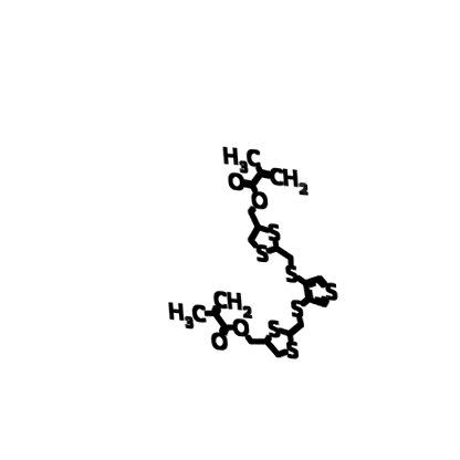 C=C(C)C(=O)OCC1CSC(CSc2cscc2SCC2SCC(COC(=O)C(=C)C)S2)S1